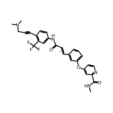 CNC(=O)c1cc(Oc2cccc(/C=C/C(=O)Nc3ccc(C#CCN(C)C)c(C(F)(F)F)c3)c2)ccn1